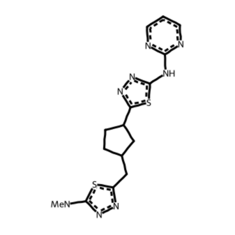 CNc1nnc(CC2CCC(c3nnc(Nc4ncccn4)s3)C2)s1